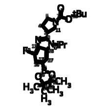 CC(C)n1c([C@@H]2CCN(C(=O)OC(C)(C)C)C2)nc2c(F)cc(B3OC(C)(C)C(C)(C)O3)cc21